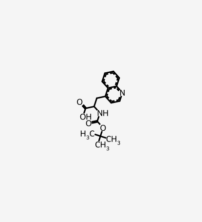 CC(C)(C)OC(=O)NC(Cc1ccnc2ccccc12)C(=O)O